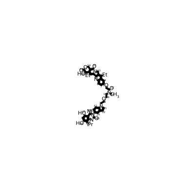 CCc1c2c(nc3ccc(OCC(=O)N(C)CCOCCn4ccc5cc(N(C(=N)c6cc(C(C)C)c(O)cc6O)C(N)=O)ccc54)cc13)-c1cc3c(c(=O)n1C2)COC(=O)[C@@]3(O)CC